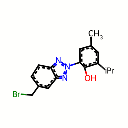 Cc1cc(C(C)C)c(O)c(-n2nc3ccc(CBr)cc3n2)c1